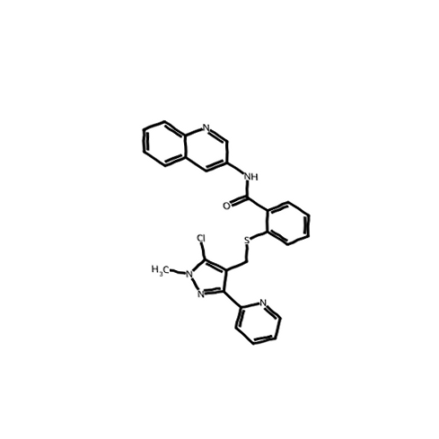 Cn1nc(-c2ccccn2)c(CSc2ccccc2C(=O)Nc2cnc3ccccc3c2)c1Cl